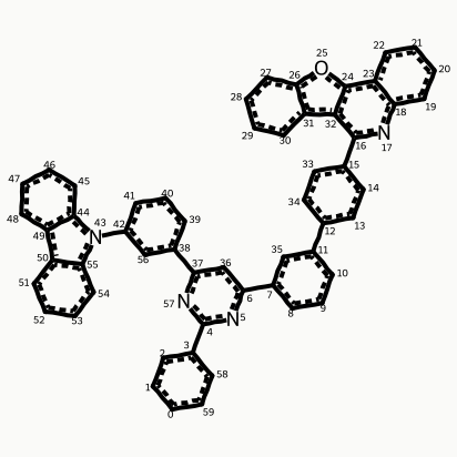 c1ccc(-c2nc(-c3cccc(-c4ccc(-c5nc6ccccc6c6oc7ccccc7c56)cc4)c3)cc(-c3cccc(-n4c5ccccc5c5ccccc54)c3)n2)cc1